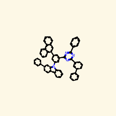 c1ccc(-c2cccc(-c3nc(-c4ccccc4)nc(-c4cc(-c5cc6ccccc6c6ccccc56)cc(-n5c6ccccc6c6ccc(-c7ccccc7)cc65)c4)n3)c2)cc1